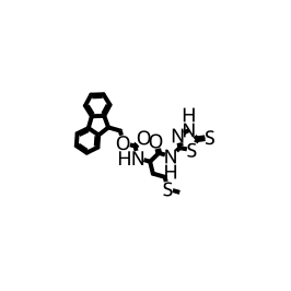 CSCCC(NC(=O)OCC1c2ccccc2-c2ccccc21)C(=O)Nc1n[nH]c(=S)s1